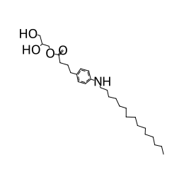 CCCCCCCCCCCCCCCNc1ccc(CCCC(=O)OCC(O)CO)cc1